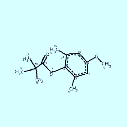 COc1cc(C)c(NC(=O)C(C)(C)C)c(C)c1